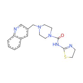 O=C(NC1=NCCS1)N1CCN(Cc2cnc3ccccc3c2)CC1